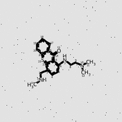 CNCc1ccc(NCCN(C)C)c2c(=O)c3ccccc3sc12